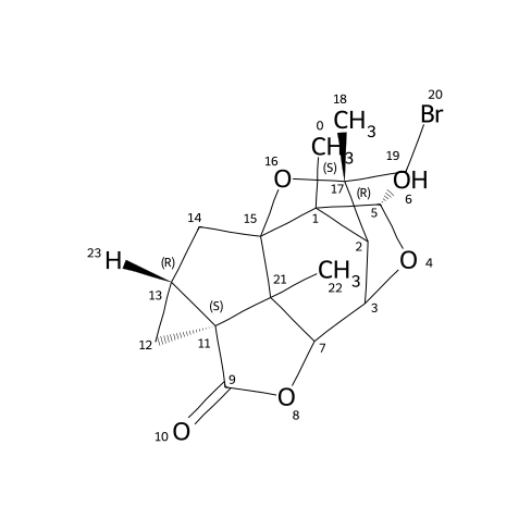 CC12C3C(O[C@H]1O)C1OC(=O)[C@@]45C[C@@H]4CC2(O[C@]3(C)CBr)C15C